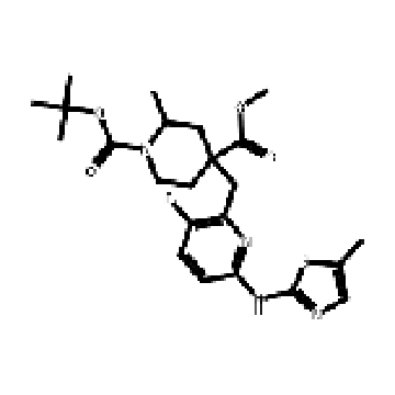 COC(=O)C1(Cc2nc(Nc3ncc(C)s3)ccc2F)CCN(C(=O)OC(C)(C)C)C(C)C1